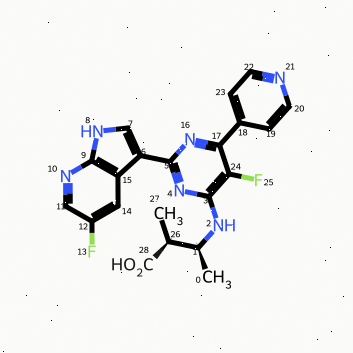 C[C@H](Nc1nc(-c2c[nH]c3ncc(F)cc23)nc(-c2ccncc2)c1F)[C@H](C)C(=O)O